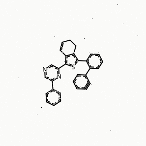 c1cccc(-c2ccccc2-c2sc(-c3cncc(-c4ccccc4)n3)c3c2CCC=C3)c#1